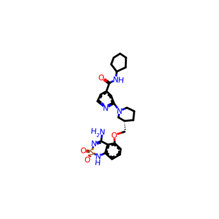 NC1=NS(=O)(=O)Nc2cccc(OC[C@H]3CCCN(c4cc(C(=O)NC5CCCCC5)ccn4)C3)c21